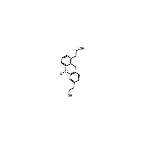 [O-][S+]1c2cc(CCO)ccc2Cc2c(CCO)cccc21